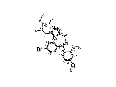 CCN(CC)C(C)Cc1nnc2n1-c1cc(Br)ccc1C(c1ccc(OC)cc1OC)=NC2